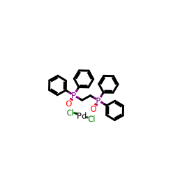 O=P(CCP(=O)(c1ccccc1)c1ccccc1)(c1ccccc1)c1ccccc1.[Cl][Pd][Cl]